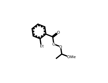 CCc1ccccc1C(=O)OOC(C)OC